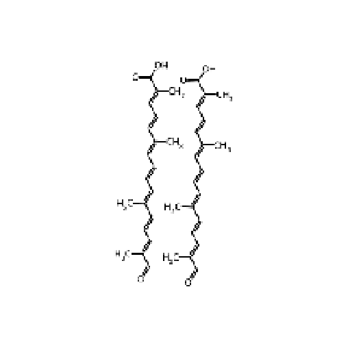 C\C(C=O)=C/C=C/C(C)=C/C=C/C=C(C)/C=C/C=C(\C)C(=O)O.C\C(C=O)=C/C=C/C(C)=C/C=C/C=C(C)/C=C/C=C(\C)C(=O)O